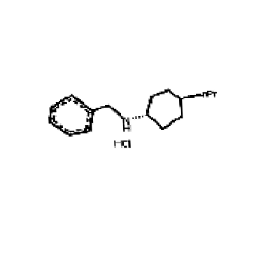 CCC[C@H]1CC[C@H](NCc2ccccc2)CC1.Cl